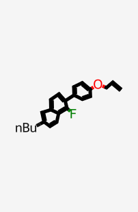 C=CCOc1ccc(-c2ccc3cc(CCCC)ccc3c2F)cc1